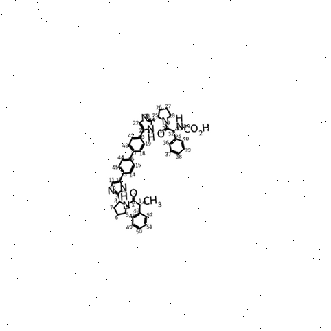 C[C@@H](C(=O)N1CCC[C@H]1c1ncc(-c2ccc(-c3ccc(-c4cnc([C@@H]5CCCN5C(=O)[C@H](NC(=O)O)c5ccccc5)[nH]4)cc3)cc2)[nH]1)c1ccccc1